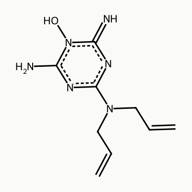 C=CCN(CC=C)c1nc(N)n(O)c(=N)n1